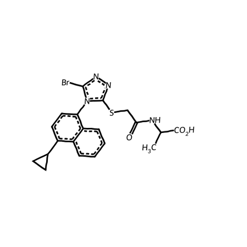 CC(NC(=O)CSc1nnc(Br)n1-c1ccc(C2CC2)c2ccccc12)C(=O)O